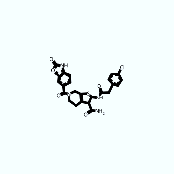 NC(=O)C1C2=C(CN(C(=O)c3ccc4[nH]c(=O)oc4c3)CC2)SC1NC(=O)Cc1ccc(Cl)cc1